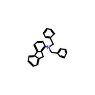 c1ccc(CN(Cc2ccccc2)c2cccc3c2Cc2ccccc2-3)cc1